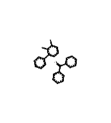 Cc1cccc(-c2ccccc2)c1C.O=C(c1ccccc1)c1ccccc1